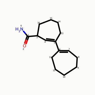 NC(=O)C1C=C(C2=CCCCCC2)CCCC1